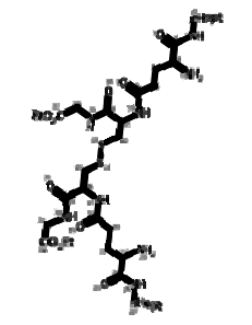 CCCCCCCNC(=O)C(N)CCC(=O)NC(CSSCC(NC(=O)CCC(N)C(=O)NCCCCCCC)C(=O)NCC(=O)OCC)C(=O)NCC(=O)OCC